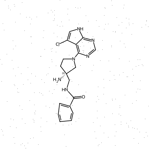 N[C@]1(CNC(=O)c2ccccc2)CCN(c2ncnc3[nH]cc(Cl)c23)C1